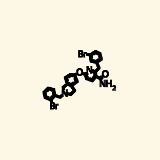 NC(=O)c1ccc(Oc2ccc3c(c2)CCN(Cc2ccccc2Br)C3)nc1Cc1cccc(Br)c1